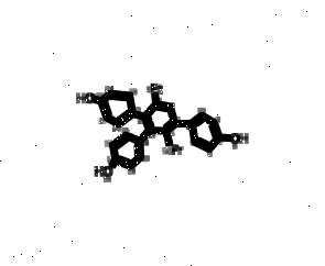 CCc1cc(-c2ccc(O)cc2)c(C(C)C)c(-c2ccc(O)cc2)c1-c1ccc(O)cc1